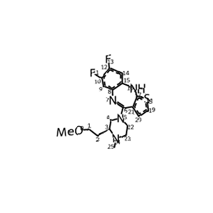 COCC[C@H]1CN(C2=Nc3cc(F)c(F)cc3Nc3sccc32)CCN1C